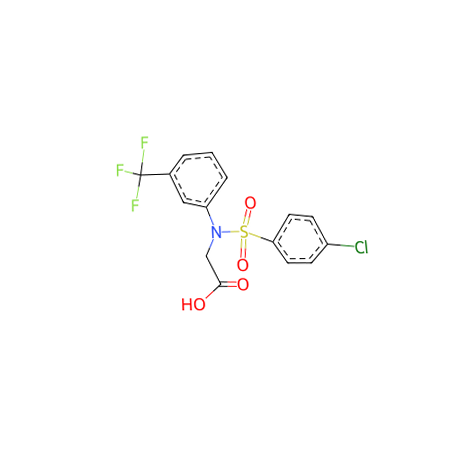 O=C(O)CN(c1cccc(C(F)(F)F)c1)S(=O)(=O)c1ccc(Cl)cc1